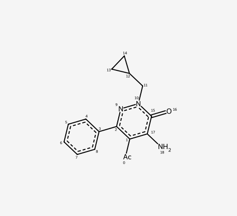 CC(=O)c1c(-c2ccccc2)nn(CC2CC2)c(=O)c1N